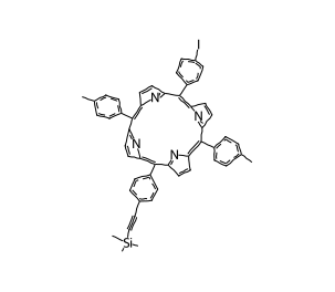 Cc1ccc(C2=C3C=CC(=N3)C(c3ccc(C#C[Si](C)(C)C)cc3)=C3C=CC(=N3)C(c3ccc(C)cc3)=C3C=CC(=N3)C(c3ccc(I)cc3)=C3C=CC2=N3)cc1